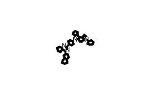 c1ccc(-n2ccc3c4c5ccccc5n(-c5ccc(-c6nc(-c7ccc8ccccc8c7)c7ccccc7n6)cc5)c4ccc32)cc1